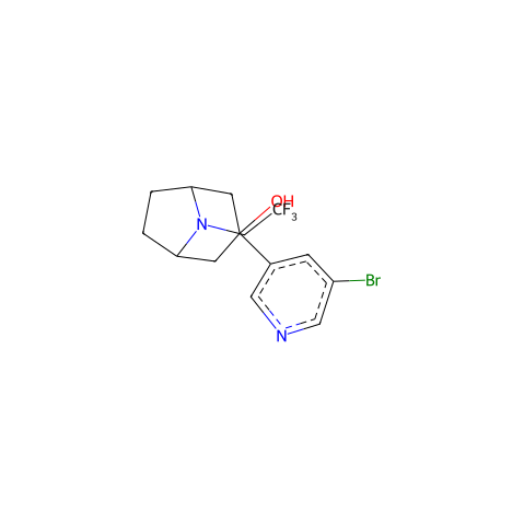 OC1(c2cncc(Br)c2)CC2CCC(C1)N2CC(F)(F)F